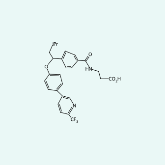 CC(C)CC(Oc1ccc(-c2ccc(C(F)(F)F)nc2)cc1)c1ccc(C(=O)NCCC(=O)O)cc1